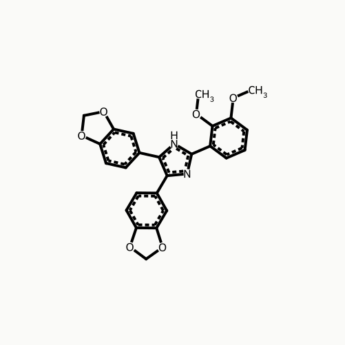 COc1cccc(-c2nc(-c3ccc4c(c3)OCO4)c(-c3ccc4c(c3)OCO4)[nH]2)c1OC